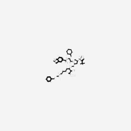 CC(C)(O)c1cnnn1[C@H]1C[C@@H](C(=O)NC(CCCCNC(=O)OCc2ccccc2)C(=O)C(N)=O)N(C(=O)[C@@H](CC2CCCCC2)NC(=O)c2ccc3[nH]ncc3c2)C1